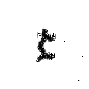 C#Cc1cccc(NC(=O)Nc2cc(NC(=O)Nc3cccc(C#C)c3)cc(-c3nc4cc5oc(-c6cccc(-c7nc8cc9oc(-c%10cc(NC(=O)Nc%11cccc(C#C)c%11)cc(NC(=O)Nc%11cccc(C#C)c%11)c%10)nc9cc8o7)c6)nc5cc4o3)c2)c1